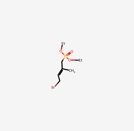 CCOP(=O)(C/C(C)=C/CBr)OCC